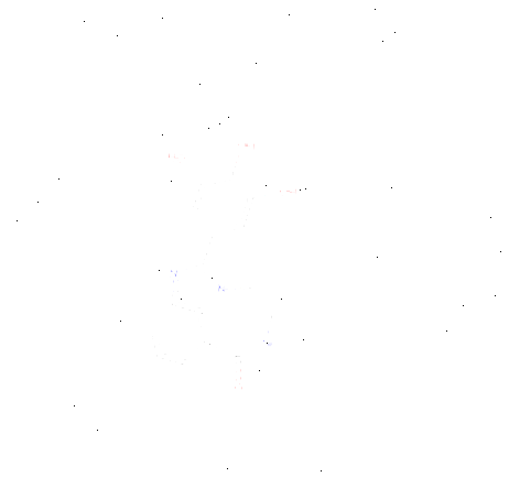 O=C1NCCn2c(-c3cc(O)c(O)c(O)c3)nc3cccc1c32